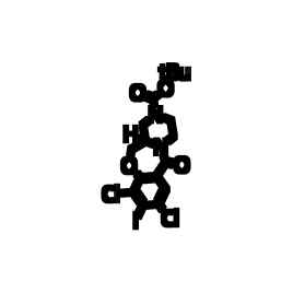 CC(C)(C)OC(=O)N1CCN2C(=O)c3cc(Cl)c(I)c(Cl)c3OC[C@H]2C1